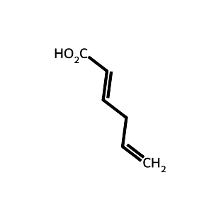 C=CC/C=C/C(=O)O